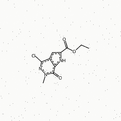 CCOC(=O)c1cc2c(Cl)nn(C)c(=O)c2[nH]1